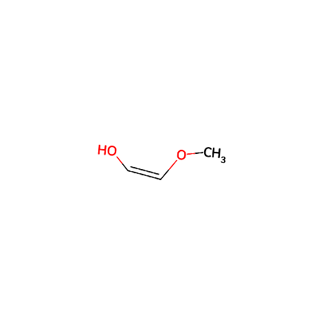 CO/C=C\O